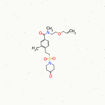 C=CCOCCN(C)C(=O)c1ccc(CCS(=O)(=O)N2CCC(=O)CC2)c(C)c1